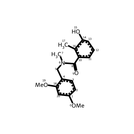 COc1ccc(CN(C)C(=O)c2cccc(O)c2C)c(OC)c1